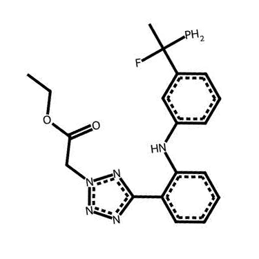 CCOC(=O)Cn1nnc(-c2ccccc2Nc2cccc(C(C)(F)P)c2)n1